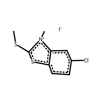 CSc1sc2ccc(Cl)cc2[n+]1C.[I-]